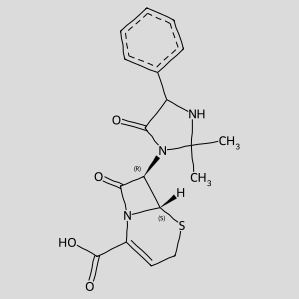 CC1(C)NC(c2ccccc2)C(=O)N1[C@@H]1C(=O)N2C(C(=O)O)=CCS[C@@H]12